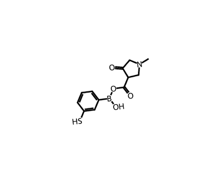 CN1CC(=O)C(C(=O)OB(O)c2cccc(S)c2)C1